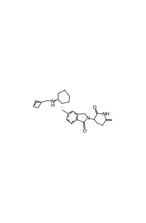 C=C1CCC(N2Cc3cc(C[C@H]4CCCC[C@@H]4NCC45CC(C4)C5)ccc3C2=O)C(=O)N1